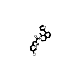 CC1c2c(cccc2-c2ccco2)CCN1C(=O)c1cc2ccc(Cl)cn2n1